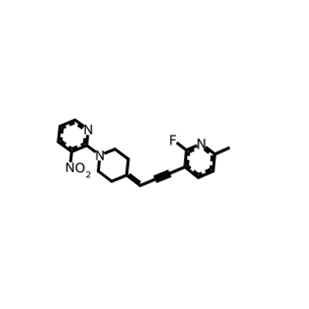 Cc1ccc(C#CC=C2CCN(c3ncccc3[N+](=O)[O-])CC2)c(F)n1